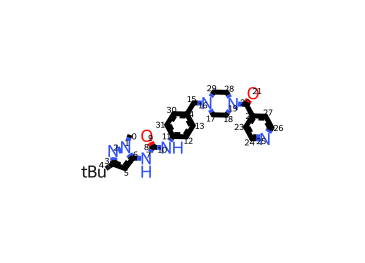 Cn1nc(C(C)(C)C)cc1NC(=O)Nc1ccc(CN2CCN(C(=O)c3ccncc3)CC2)cc1